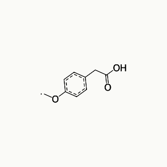 [CH2]Oc1ccc(CC(=O)O)cc1